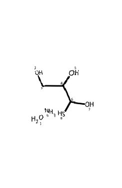 N.O.OCC(O)C(O)S